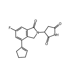 O=C1CC(N2Cc3c(cc(F)cc3C3=CCCC3)C2=O)C(=O)N1